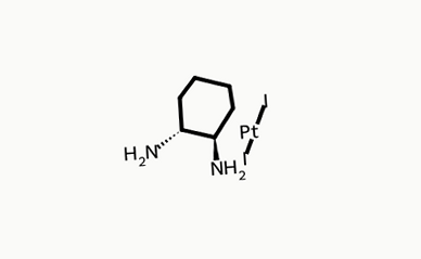 N[C@@H]1CCCC[C@H]1N.[I][Pt][I]